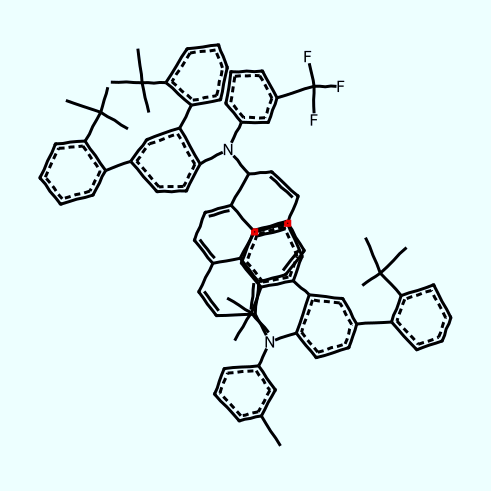 Cc1cccc(N(C2=C3C=CC4=C5C(=CC=C(C=C2)C35)C(N(c2cccc(C(F)(F)F)c2)c2ccc(-c3ccccc3C(C)(C)C)cc2-c2ccccc2C(C)(C)C)C=C4)c2ccc(-c3ccccc3C(C)(C)C)cc2-c2ccccc2C(C)(C)C)c1